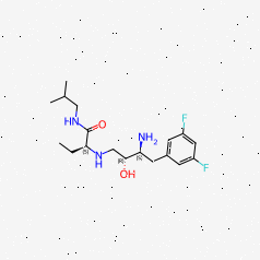 CC[C@H](NC[C@@H](O)[C@@H](N)Cc1cc(F)cc(F)c1)C(=O)NCC(C)C